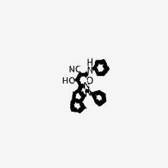 N#CC(C(=O)Nc1ccccc1)=C(O)c1nn(-c2ccccc2)c2c1Cc1ccccc1-2